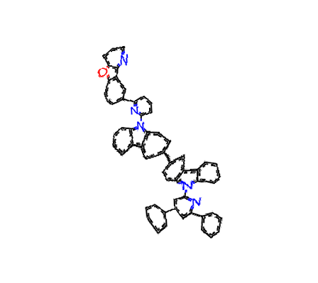 c1ccc(-c2cc(-c3ccccc3)nc(-n3c4ccccc4c4cc(-c5ccc6c(c5)c5ccccc5n6-c5cccc(-c6ccc7oc8cccnc8c7c6)n5)ccc43)c2)cc1